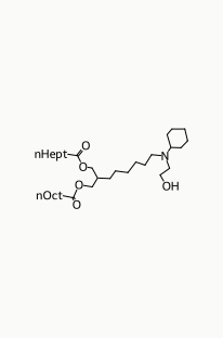 CCCCCCCCC(=O)OCC(CCCCCCN(CCO)C1CCCCC1)COC(=O)CCCCCCC